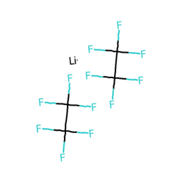 FC(F)(F)C(F)(F)F.FC(F)(F)C(F)(F)F.[Li]